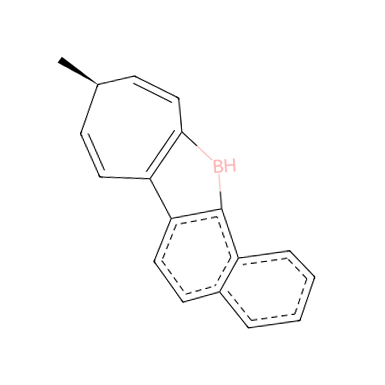 C[C@H]1C=CC2=C(C=C1)c1ccc3ccccc3c1B2